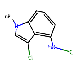 CCCn1cc(Cl)c2c(NCl)cccc21